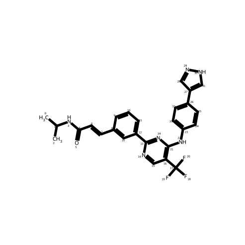 CC(C)NC(=O)/C=C/c1cccc(-c2ncc(C(F)(F)F)c(Nc3ccc(-c4cn[nH]c4)cc3)n2)c1